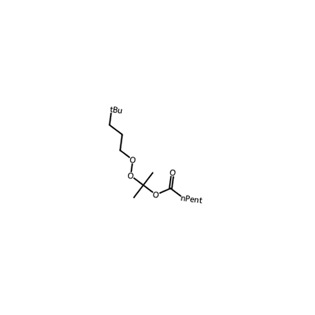 CCCCCC(=O)OC(C)(C)OOCCCC(C)(C)C